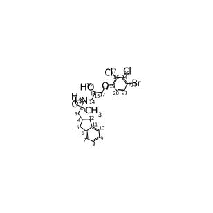 CC(C)(CC1Cc2ccccc2C1)NC[C@@H](O)COc1ccc(Br)c(Cl)c1Cl